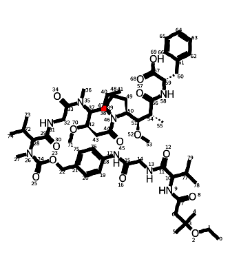 CCOC(C)(C)CC(=O)NC(C(=O)NCC(=O)Nc1ccc(COC(=O)N(C)C(C(=O)NCC(=O)N(C)C(C(C)CC)[C@@H](CC(=O)N2CCC[C@H]2[C@H](OC)[C@@H](C)C(=O)N[C@@H](Cc2ccccc2)C(=O)O)OC)C(C)C)cc1)C(C)C